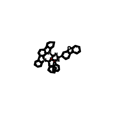 c1ccc(-c2nc(-c3ccc4c(c3)oc3ccccc34)nc(-n3c4ccccc4c4ccc5c6ccccc6n(-c6ccc7ccccc7c6)c5c43)n2)cc1